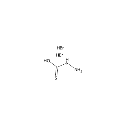 Br.Br.NNC(O)=S